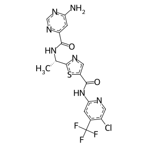 C[C@H](NC(=O)c1cc(N)ncn1)c1ncc(C(=O)Nc2cc(C(F)(F)F)c(Cl)cn2)s1